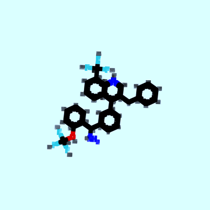 NC(c1cccc(-c2c(Cc3ccccc3)cnc3c(C(F)(F)F)cccc23)c1)c1ccccc1OC(F)(F)F